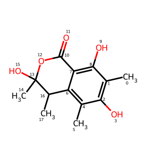 Cc1c(O)c(C)c2c(c1O)C(=O)OC(C)(O)C2C